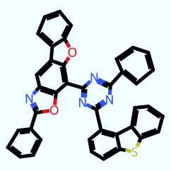 c1ccc(-c2nc(-c3c4oc(-c5ccccc5)nc4cc4c3oc3ccccc34)nc(-c3cccc4sc5ccccc5c34)n2)cc1